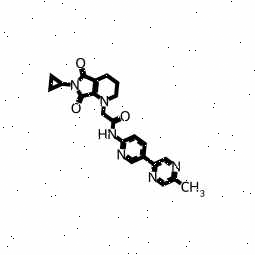 Cc1cnc(-c2ccc(NC(=O)CN3CCCC4=C3C(=O)N(C3CC3)C4=O)nc2)cn1